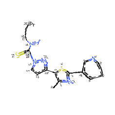 Cc1nc(-c2cccnc2)sc1-c1ccn(C(=S)NCC(C)C)n1